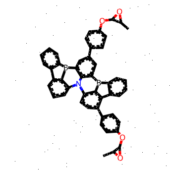 CC1OC1Oc1ccc(-c2cc3c4c(c2)B2c5ccccc5-c5c(-c6ccc(OC7OC7C)cc6)ccc(c52)N4c2cccc4c2B3c2ccccc2-4)cc1